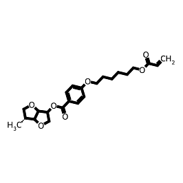 C=CC(=O)OCCCCCCOc1ccc(C(=O)OC2COC3C2OC[C@H]3C)cc1